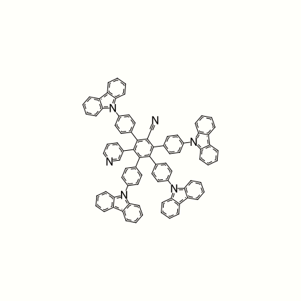 N#Cc1c(-c2ccc(-n3c4ccccc4c4ccccc43)cc2)c(-c2ccc(-n3c4ccccc4c4ccccc43)cc2)c(-c2ccc(-n3c4ccccc4c4ccccc43)cc2)c(-c2cccnc2)c1-c1ccc(-n2c3ccccc3c3ccccc32)cc1